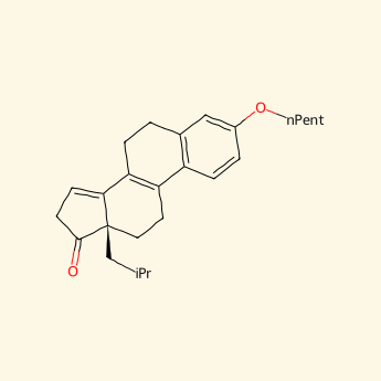 CCCCCOc1ccc2c(c1)CCC1=C2CC[C@]2(CC(C)C)C(=O)CC=C12